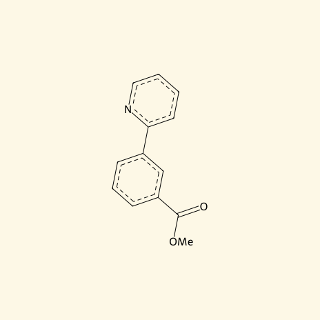 COC(=O)c1cccc(-c2ccccn2)c1